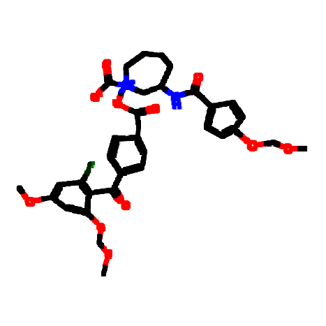 COCOc1ccc(C(=O)NC2CCCC[N+](OC(=O)c3ccc(C(=O)c4c(F)cc(OC)cc4OCOC)cc3)(C(=O)[O-])C2)cc1